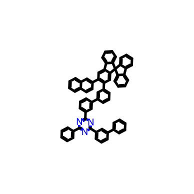 c1ccc(-c2cccc(-c3nc(-c4ccccc4)nc(-c4cccc(-c5cccc(-c6cc7c(cc6-c6ccc8ccccc8c6)-c6ccccc6C76c7ccccc7-c7ccccc76)c5)c4)n3)c2)cc1